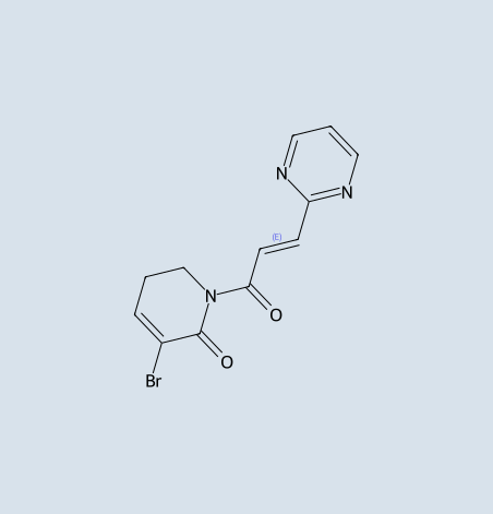 O=C(/C=C/c1ncccn1)N1CCC=C(Br)C1=O